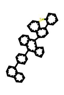 c1ccc2c(c1)Sc1cccc3c(-c4c5ccccc5c(-c5ccc(-c6cccc7ccccc67)cc5)c5ccccc45)ccc-2c13